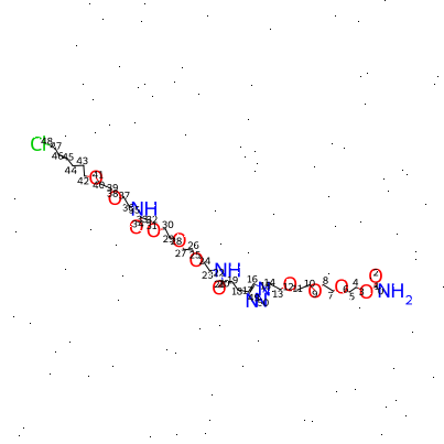 NC(=O)OCCOCCOCCOCCn1cc(CCC(=O)NCCOCCOCCOCC(=O)NCCOCCOCCCCCCCl)nn1